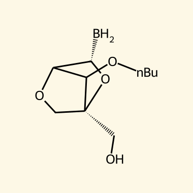 B[C@@H]1O[C@@]2(CO)COC1C2OCCCC